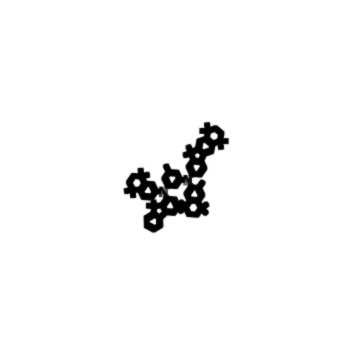 Cc1cc(N(c2ccc3c(c2)C(C)(C)c2cc4c(cc2-3)C(C)(C)CCC4(C)C)c2cc3c(cc2C)C(C)(C)CCC3(C)C)cc(N(c2ccc3c(c2)C(C)(C)CCC3(C)C)c2cccc3c2C(C)(C)c2ccccc2-3)c1